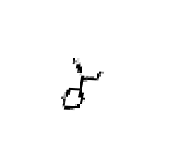 CC=C(C#N)c1cccnc1